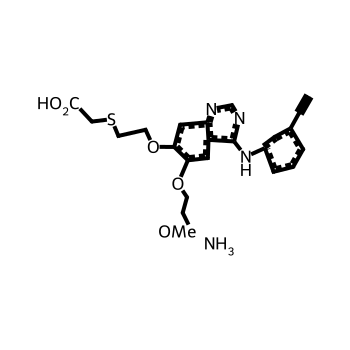 C#Cc1cccc(Nc2ncnc3cc(OCCSCC(=O)O)c(OCCOC)cc23)c1.N